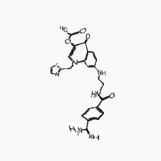 N=C(N)c1ccc(C(=O)NCCNc2ccc3c(=O)c(OC(=O)O)cn(Cc4nccs4)c3c2)cc1